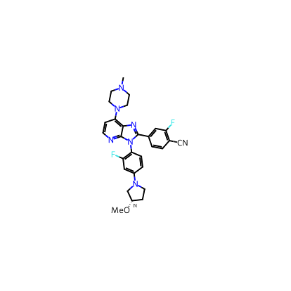 CO[C@H]1CCN(c2ccc(-n3c(-c4ccc(C#N)c(F)c4)nc4c(N5CCN(C)CC5)ccnc43)c(F)c2)C1